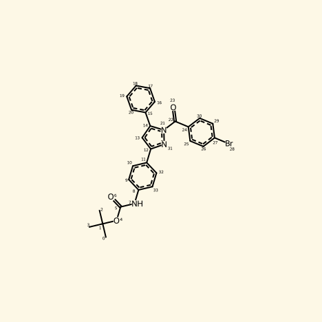 CC(C)(C)OC(=O)Nc1ccc(-c2cc(-c3ccccc3)n(C(=O)c3ccc(Br)cc3)n2)cc1